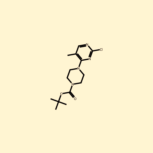 Cc1cnc(Cl)nc1N1CCN(C(=O)OC(C)(C)C)CC1